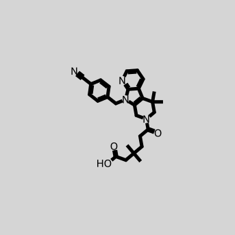 CC(C)(CCC(=O)N1Cc2c(c3cccnc3n2Cc2ccc(C#N)cc2)C(C)(C)C1)CC(=O)O